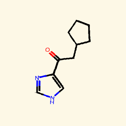 O=C(CC1CCCC1)c1c[nH][c]n1